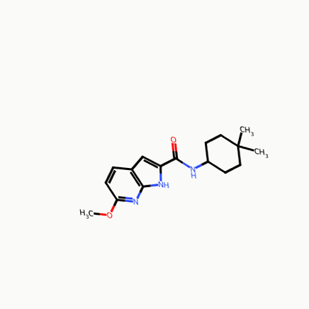 COc1ccc2cc(C(=O)NC3CCC(C)(C)CC3)[nH]c2n1